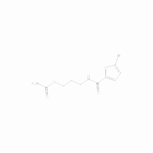 NC(=O)OCCCNC(=O)c1ccc(Br)o1